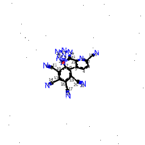 N#Cc1ccc(-c2c(C#N)c(C#N)c(C#N)c(C#N)c2C#N)c(-c2nnnnn2)n1